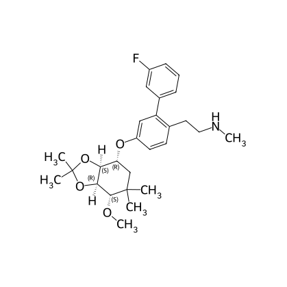 CNCCc1ccc(O[C@@H]2CC(C)(C)[C@H](OC)[C@H]3OC(C)(C)O[C@H]32)cc1-c1cccc(F)c1